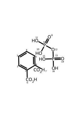 O=C(O)c1ccccc1C(=O)O.O=P(O)(O)OP(=O)(O)O